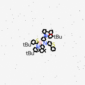 CC(C)(C)c1ccc(N(c2ccc3c(c2)N(c2ccc4sc5ccccc5c4c2)c2cc4c(c5c2B3c2sc3ccc(C(C)(C)C)cc3c2N5c2ccc(C(C)(C)C)cc2)C(C)(C)CCC4(C)C)c2ccccc2-c2ccccc2)cc1